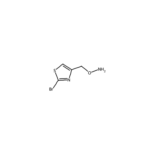 NOCc1csc(Br)n1